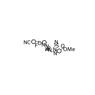 COC(=O)c1ccc2nc(CN3CCN(c4cccc(OCc5ccc(C#N)cc5F)n4)[C@H]4C[C@H]43)n(Cc3cncs3)c2c1